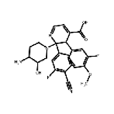 COc1ccc(C2C(C(=O)O)=CC=NC2(c2ccc(C#N)c(F)c2)N2CCC(N)C(O)C2)cc1F